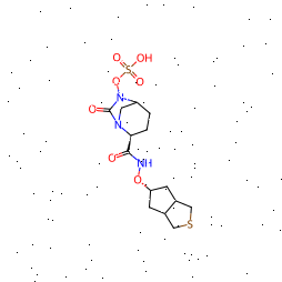 O=C(NOC1CC2CSCC2C1)[C@@H]1CCC2CN1C(=O)N2OS(=O)(=O)O